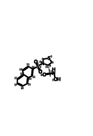 O=C(NO)[C@H]1CSCN1S(=O)(=O)c1ccc2ccccc2c1